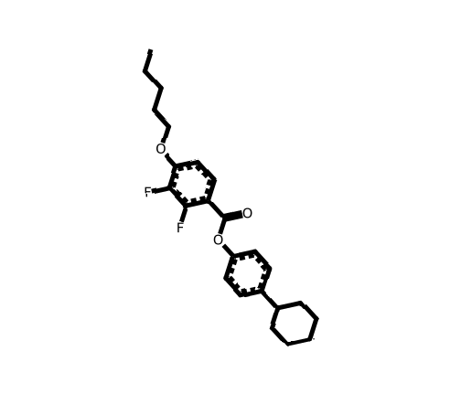 CCCCCOc1ccc(C(=O)Oc2ccc(C3CC[CH]CC3)cc2)c(F)c1F